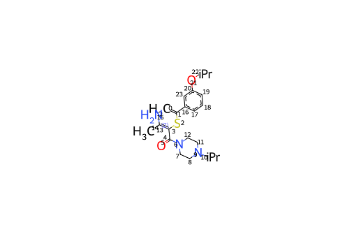 C=C(S/C(C(=O)N1CCN(C(C)C)CC1)=C(/C)N)c1cccc(OC(C)C)c1